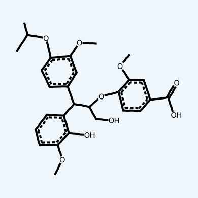 COc1cc(C(c2cccc(OC)c2O)C(CO)Oc2ccc(C(=O)O)cc2OC)ccc1OC(C)C